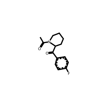 CC(=O)N1CCCCC1C(=O)c1ccc(F)cc1